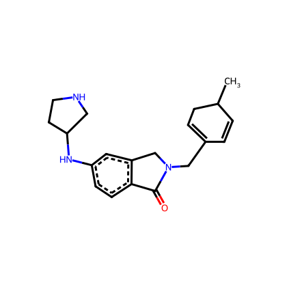 CC1C=CC(CN2Cc3cc(NC4CCNC4)ccc3C2=O)=CC1